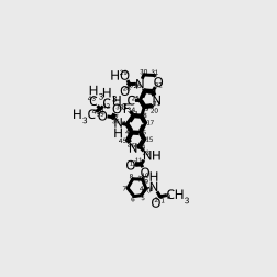 CC(=O)N[C@@H]1CCCC[C@H]1OC(=O)Nc1cc2cc(-c3cnc4c(c3C)N(C(=O)O)CCO4)c(F)c(NC(=O)OC(C)(C)C)c2cn1